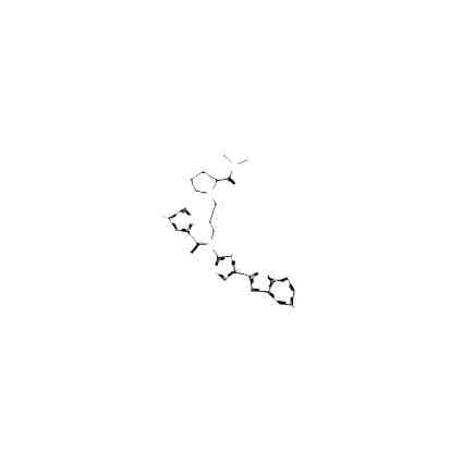 CN(C)C(=O)C1CCCN1CCCN(C(=O)c1cccs1)c1nc(-c2cc3ccccc3o2)cs1